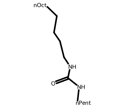 CCCCCCCCCCCCNC(=O)NCCCCC